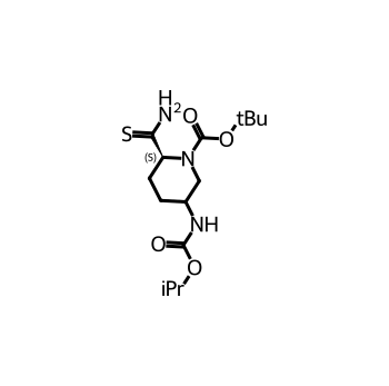 CC(C)OC(=O)NC1CC[C@@H](C(N)=S)N(C(=O)OC(C)(C)C)C1